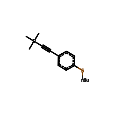 CCCCSc1ccc(C#C[Si](C)(C)C)cc1